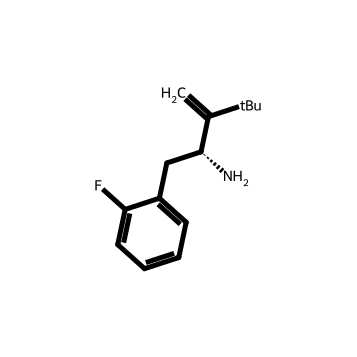 C=C([C@H](N)Cc1ccccc1F)C(C)(C)C